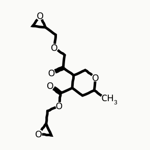 CC1CC(C(=O)OCC2CO2)C(C(=O)COCC2CO2)CO1